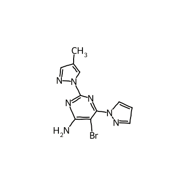 Cc1cnn(-c2nc(N)c(Br)c(-n3cccn3)n2)c1